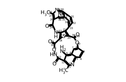 Cc1nc2ccc3cc2c(N)c1C(=O)NOC(=O)c1sc(c2c1NC(=O)c1c(C)nc4ccc-2cc4c1N)C(=O)O3